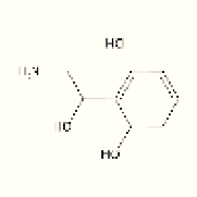 Cl.NCC(O)c1ccccc1O